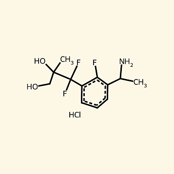 CC(N)c1cccc(C(F)(F)C(C)(O)CO)c1F.Cl